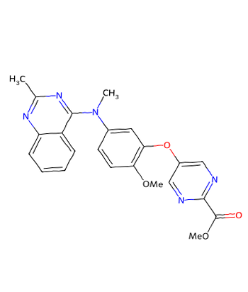 COC(=O)c1ncc(Oc2cc(N(C)c3nc(C)nc4ccccc34)ccc2OC)cn1